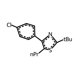 CCCc1sc(C(C)(C)C)nc1-c1ccc(Cl)cc1